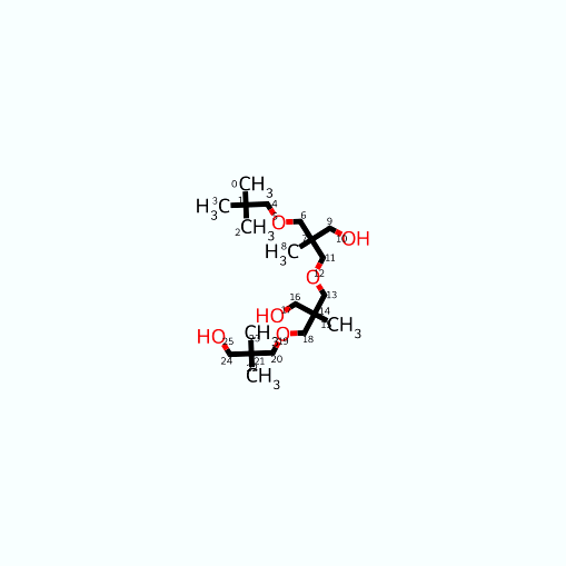 CC(C)(C)COCC(C)(CO)COCC(C)(CO)COCC(C)(C)CO